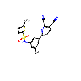 Cc1cc(NS(=O)(=O)c2ccc(C)s2)cc(-c2ccc(C#N)c(C#N)n2)c1